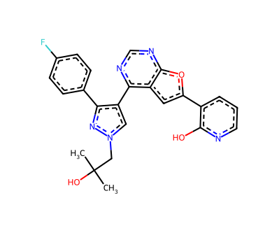 CC(C)(O)Cn1cc(-c2ncnc3oc(-c4cccnc4O)cc23)c(-c2ccc(F)cc2)n1